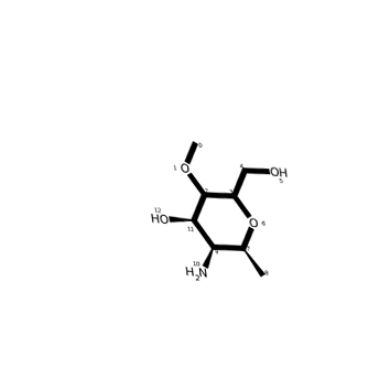 COC1C(CO)O[C@@H](C)[C@@H](N)[C@H]1O